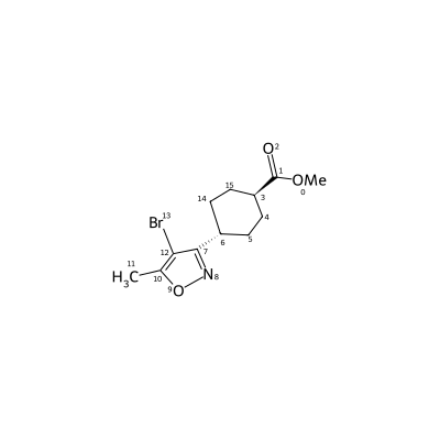 COC(=O)[C@H]1CC[C@H](c2noc(C)c2Br)CC1